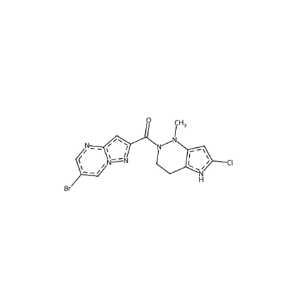 CN1c2cc(Cl)[nH]c2CCN1C(=O)c1cc2ncc(Br)cn2n1